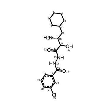 N[C@H](CC1CCCCC1)C(O)C(=O)NNC(=O)c1cccc(Cl)c1